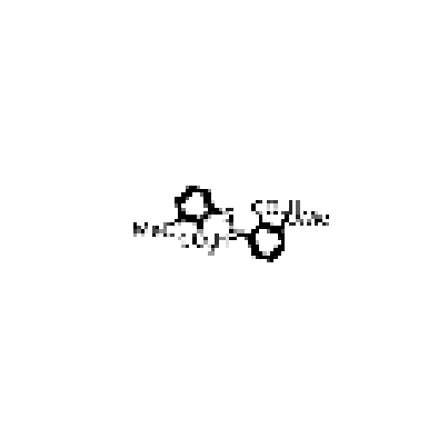 COc1cccc(SSc2cccc(OC)c2C(=O)O)c1C(=O)O